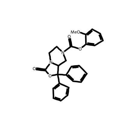 COc1ccccc1OC(=O)N1CCN2C(=O)OC(c3ccccc3)(c3ccccc3)C2C1